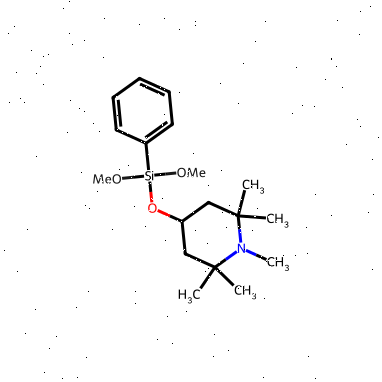 CO[Si](OC)(OC1CC(C)(C)N(C)C(C)(C)C1)c1ccccc1